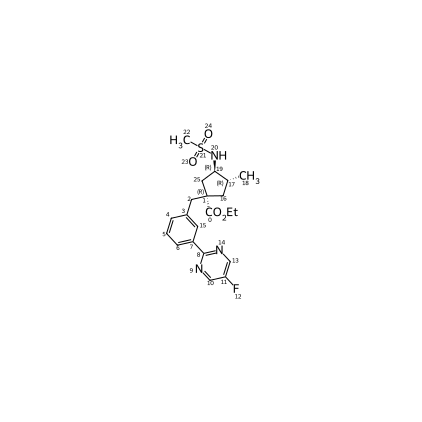 CCOC(=O)[C@@]1(Cc2cccc(-c3ncc(F)cn3)c2)C[C@@H](C)[C@H](NS(C)(=O)=O)C1